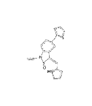 C#CN1C(=O)C(=Cc2ccc[nH]2)c2cc(-c3cccs3)ccc21